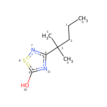 CCCC(C)(C)c1nsc(O)n1